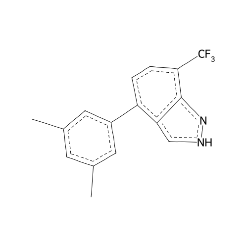 Cc1cc(C)cc(-c2ccc(C(F)(F)F)c3n[nH]cc23)c1